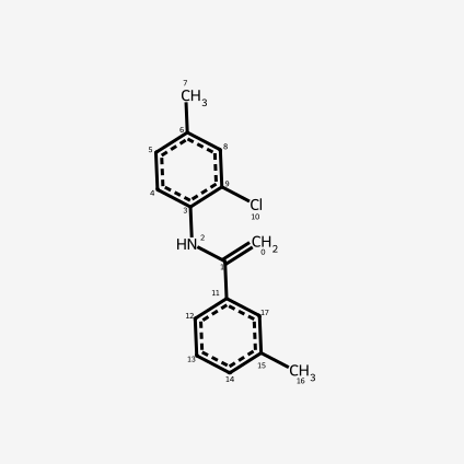 C=C(Nc1ccc(C)cc1Cl)c1cccc(C)c1